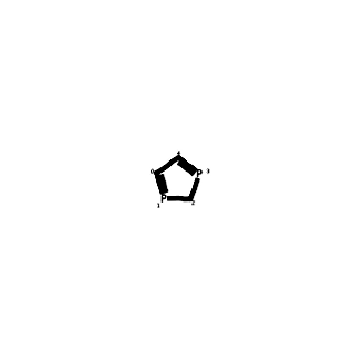 [C]1=PCP=C1